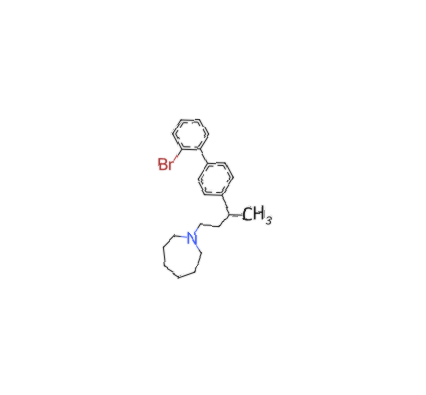 CC(CCN1CCCCCC1)c1ccc(-c2ccccc2Br)cc1